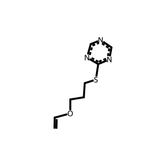 C=COCCCSc1ncncn1